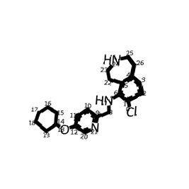 Clc1ccc2c(c1NCc1ccc(OC3CCCCC3)cn1)CCNCC2